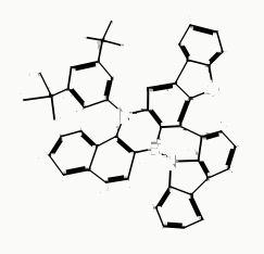 CC(C)(C)c1cc(N2c3cc4c(oc5ccccc54)c4c3B(c3ccc5ccccc5c32)n2c3ccccc3c3cccc-4c32)cc(C(C)(C)C)c1